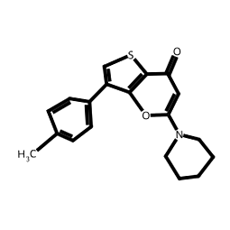 Cc1ccc(-c2csc3c(=O)cc(N4CCCCC4)oc23)cc1